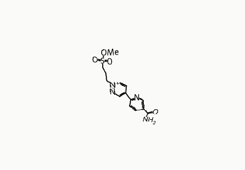 COS(=O)(=O)CCC[n+]1ccc(-c2ccc(C(N)=O)cn2)cn1